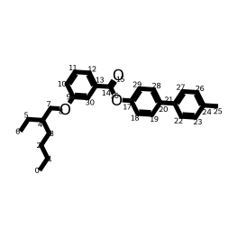 CCCCC(CC)COc1cccc(C(=O)Oc2ccc(-c3ccc(C)cc3)cc2)c1